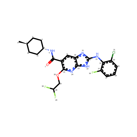 C[C@H]1CC[C@H](NC(=O)c2cc3nc(Nc4c(F)cccc4Cl)[nH]c3nc2OCC(F)F)CC1